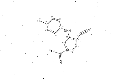 N#Cc1ccc([N+](=O)[O-])cc1Nc1ccc(Cl)nc1